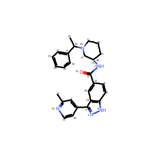 Cc1cc(-c2n[nH]c3ccc(C(=O)N[C@@H]4CCCN(C(C)c5ccccc5)C4)cc23)ccn1